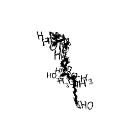 CC(C)(NCCCCCC=O)C(=O)CCC(NC(=O)c1ccc(NCc2cnc3nc(N)[nH]c(=O)c3n2)cc1)C(=O)O